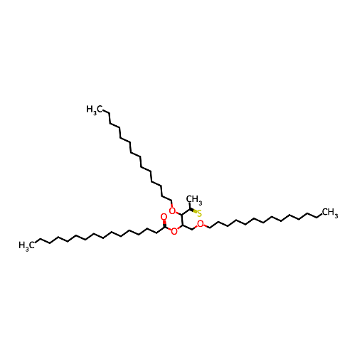 CCCCCCCCCCCCCCCC(=O)OC(COCCCCCCCCCCCCCC)C(OCCCCCCCCCCCCCC)C(C)=S